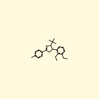 CCc1cccc(C2CC(c3ccc(C)cc3)=NC2C(C)(C)C)c1CC